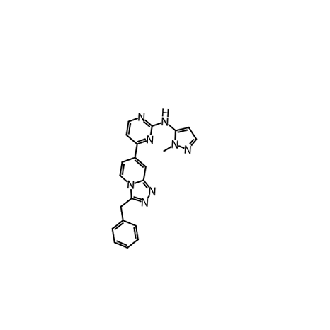 Cn1nccc1Nc1nccc(-c2ccn3c(Cc4ccccc4)nnc3c2)n1